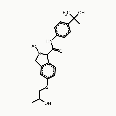 CC(=O)N1Cc2cc(SCC(C)O)ccc2C1C(=O)Nc1ccc(C(C)(O)C(F)(F)F)cc1